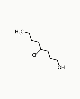 CCCCC(Cl)CCCO